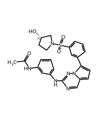 CC(=O)Nc1cccc(Nc2ncc3ccc(-c4cccc(S(=O)(=O)N5CC[C@H](O)C5)c4)n3n2)c1